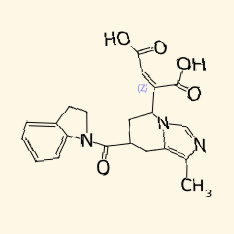 Cc1ncn2c1CC(C(=O)N1CCc3ccccc31)CC2/C(=C/C(=O)O)C(=O)O